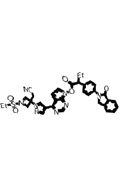 CCC(C(=O)On1ccc2c(-c3cnn(C4(CC#N)CN(S(=O)(=O)CC)C4)c3)ncnc21)c1ccc(N2Cc3ccccc3C2=O)cc1